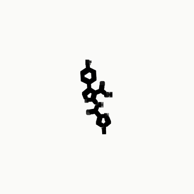 Cn1cnc(C(=O)Nc2scc(-c3ccc(Br)cc3)c2C(=O)O)c1